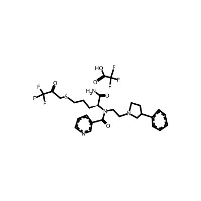 NC(=O)[C@H](CCCSCC(=O)C(F)(F)F)N(CCN1CCC(c2ccccc2)C1)C(=O)c1cccnc1.O=C(O)C(F)(F)F